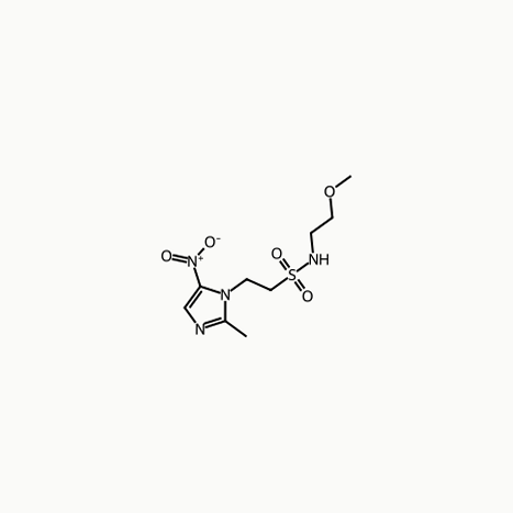 COCCNS(=O)(=O)CCn1c([N+](=O)[O-])cnc1C